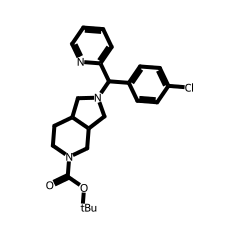 CC(C)(C)OC(=O)N1CCC2CN(C(c3ccc(Cl)cc3)c3ccccn3)CC2C1